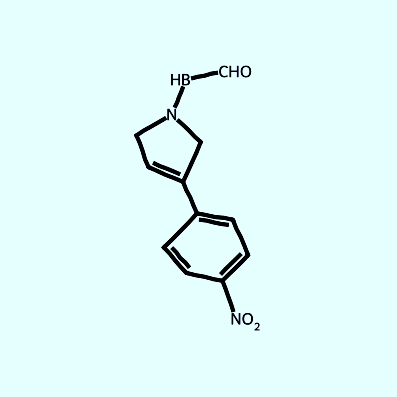 O=CBN1CC=C(c2ccc([N+](=O)[O-])cc2)C1